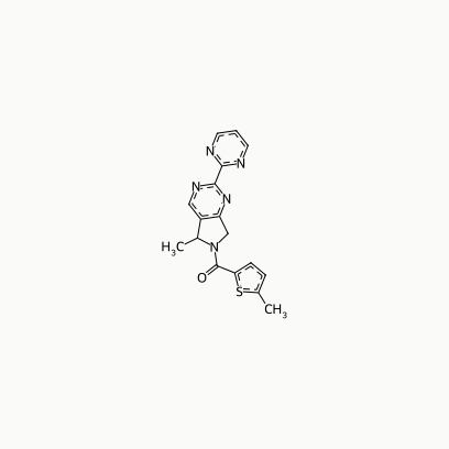 Cc1ccc(C(=O)N2Cc3nc(-c4ncccn4)ncc3C2C)s1